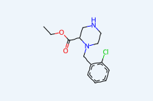 CCOC(=O)C1CNCCN1Cc1ccccc1Cl